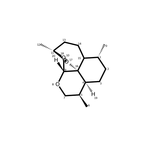 C[C@@H]1CC[C@H]2[C@@H](C)CO[C@@H]3O[C@]4(C)CCC1[C@]32OO4